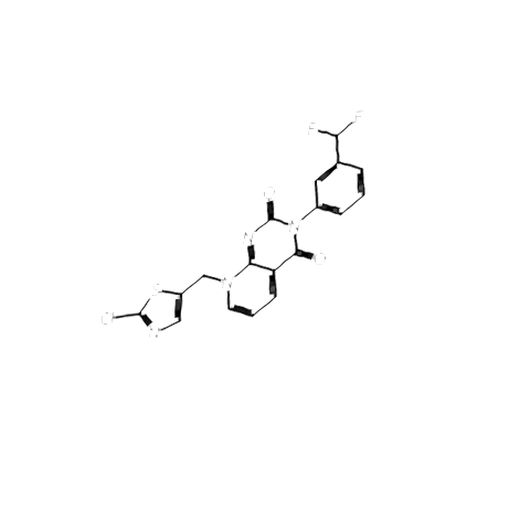 O=c1nc2n(Cc3cnc(Cl)s3)cccc-2c(=O)n1-c1cccc(C(F)F)c1